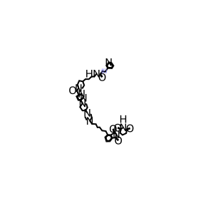 O=C(/C=C/c1cccnc1)NCCCCC1CCN(C(=O)c2ccc(N3CCC(N4CCN(CCCCCCc5cccc6c5C(=O)N(C5CCC(=O)NC5=O)C6=O)CC4)CC3)nn2)CC1